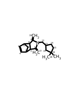 C=C1C2C3C=CC(C3)C2C(=C)N1CC1CCC(C)(C)C1